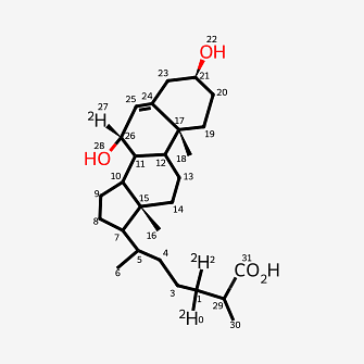 [2H]C([2H])(CCC(C)C1CCC2C3C(CC[C@]12C)[C@@]1(C)CC[C@H](O)CC1=C[C@@]3([2H])O)C(C)C(=O)O